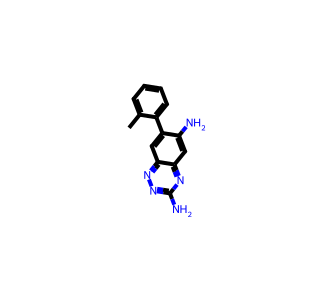 Cc1ccccc1-c1cc2nnc(N)nc2cc1N